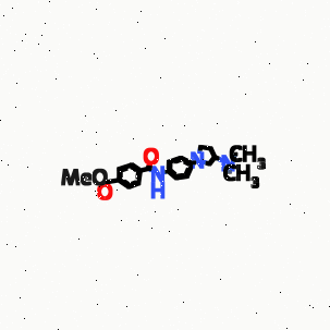 COC(=O)c1ccc(C(=O)Nc2ccc(N3CCC(N(C)C)C3)cc2)cc1